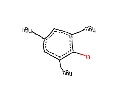 CCCCc1cc(CCCC)c([O])c(CCCC)c1